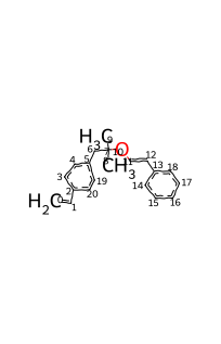 C=Cc1ccc(CC(C)(C)OC=Cc2ccccc2)cc1